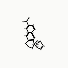 CC(C)c1ccc2cc3c(cc2c1)CCCC31CC2C=CC1C2